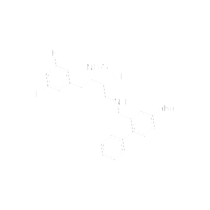 CCC(C)c1ccc(-c2ccccc2)c(CNC[C@@H](S)[C@H](Cc2cc(F)cc(F)c2)NC(C)=O)c1